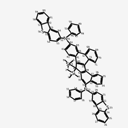 C[Si](C)(C)C1([Si](C)(C)C)c2cc(N(c3ccccc3)c3ccc4sc5ccccc5c4c3)c3ccccc3c2-c2c1c1ccc(N(c3ccccc3)c3ccc4sc5ccccc5c4c3)cc1c1ccccc21